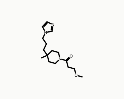 COCCC(=O)N1CCC(C)(CCCn2ccnc2)CC1